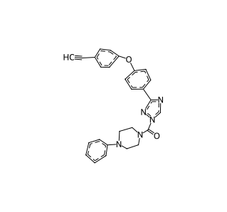 C#Cc1ccc(Oc2ccc(-c3ncn(C(=O)N4CCN(c5ccccc5)CC4)n3)cc2)cc1